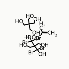 C=C(C)C(=O)O.OCC(CO)(C(O)(Br)Br)C(O)(Br)Br.OCC(CO)(CO)CO